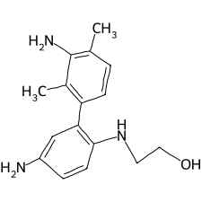 Cc1ccc(-c2cc(N)ccc2NCCO)c(C)c1N